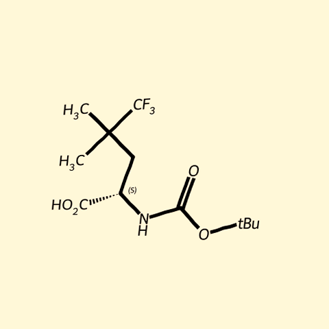 CC(C)(C)OC(=O)N[C@@H](CC(C)(C)C(F)(F)F)C(=O)O